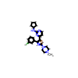 CN1CCN(c2nc(-c3cccc(F)c3)c(-c3ccnc(NC4CCCC4)n3)s2)CC1